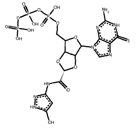 Nc1nc2c(ncn2C2OC(COP(=O)(O)OP(=O)(O)OP(=O)(O)O)C3O[C@@H](C(=O)Nc4cc(O)[nH]n4)OC32)c(=S)[nH]1